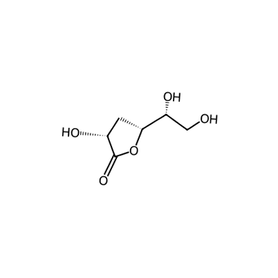 O=C1O[C@@H]([C@H](O)CO)C[C@H]1O